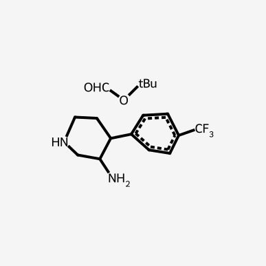 CC(C)(C)OC=O.NC1CNCCC1c1ccc(C(F)(F)F)cc1